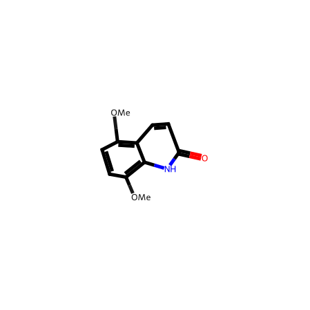 COc1ccc(OC)c2[nH]c(=O)ccc12